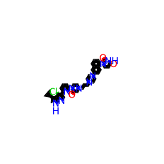 O=C1CCN(c2cccc3cc(N4CCN(CCCN5CCN(c6cccc(-c7cnc8[nH]cc(C9CC9)c8c7Cl)n6)C(=O)C5)CC4)ccc23)C(=O)N1